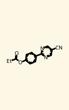 CCC(=O)Oc1ccc(-c2ncc(C#N)cn2)cc1